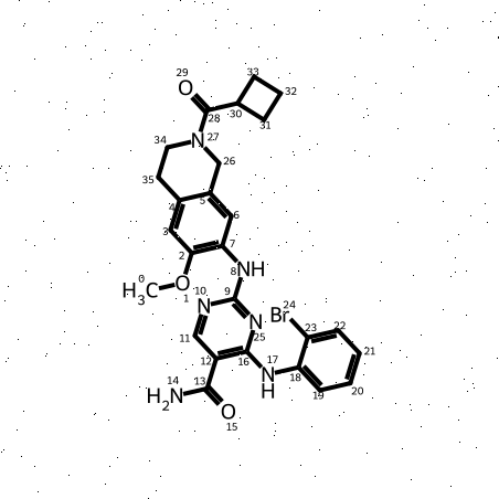 COc1cc2c(cc1Nc1ncc(C(N)=O)c(Nc3ccccc3Br)n1)CN(C(=O)C1CCC1)CC2